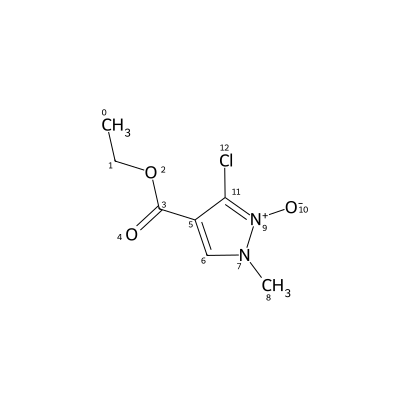 CCOC(=O)c1cn(C)[n+]([O-])c1Cl